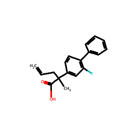 C=CCC(C)(C(=O)O)c1ccc(-c2ccccc2)c(F)c1